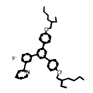 CCCCC(CC)COc1ccc(-c2cc(-c3ccc(OCC(CC)CCCC)cc3)cc(-c3cccc(-c4ccccn4)c3)c2)cc1.[Ir]